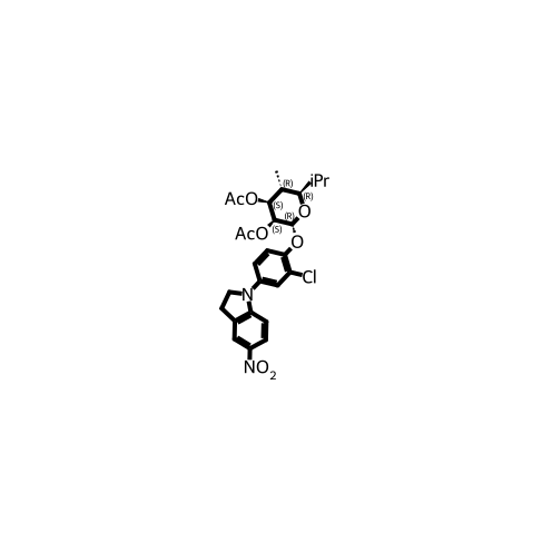 CC(=O)O[C@@H]1[C@@H](Oc2ccc(N3CCc4cc([N+](=O)[O-])ccc43)cc2Cl)O[C@H](C(C)C)[C@@H](C)[C@@H]1OC(C)=O